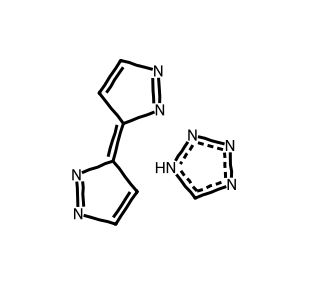 C1=CC(=C2C=CN=N2)N=N1.c1nnn[nH]1